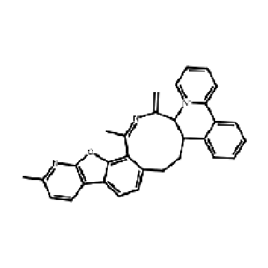 C=C1/N=C(/C)c2c(ccc3c2oc2nc(C)ccc23)CCC2c3ccccc3-c3cccc[n+]3C12